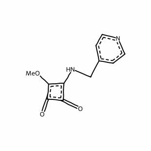 COc1c(NCc2ccncc2)c(=O)c1=O